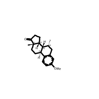 COc1ccc2c(c1)C[C@@H](C)[C@@H]1[C@@H]2CC[C@]2(C)C(=O)CC[C@H]12